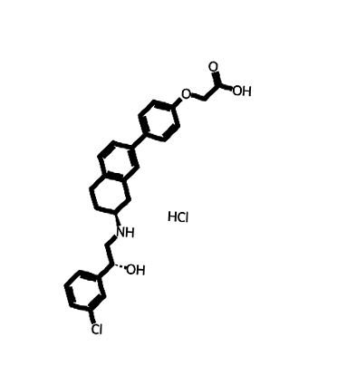 Cl.O=C(O)COc1ccc(-c2ccc3c(c2)C[C@@H](NC[C@H](O)c2cccc(Cl)c2)CC3)cc1